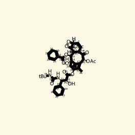 CC(=O)O[C@H]1C(=O)[C@]2(C)C=C[C@H]3OO[C@@]3(OC(C)=O)[C@H]2[C@H](OC(=O)c2ccccc2)[C@]2(O)C[C@H](OC(=O)[C@H](O)[C@@H](NC(=O)NC(C)(C)C)c3ccccc3)C(C)=C1C2(C)C